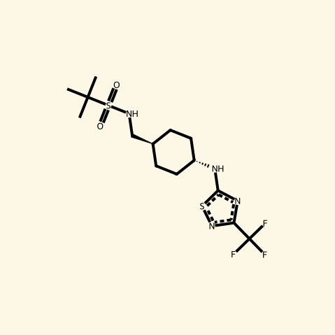 CC(C)(C)S(=O)(=O)NC[C@H]1CC[C@H](Nc2nc(C(F)(F)F)ns2)CC1